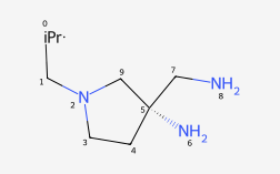 C[C](C)CN1CC[C@](N)(CN)C1